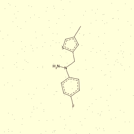 Cc1csc(CN(N)c2ccc(F)cc2)c1